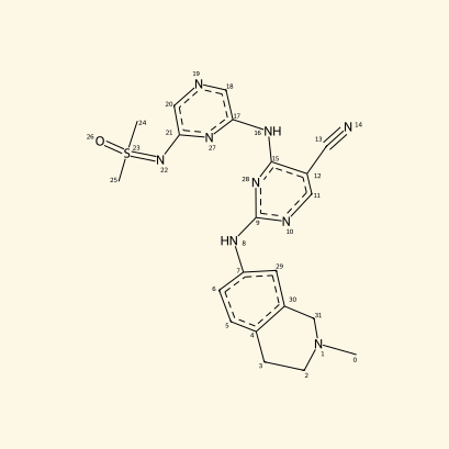 CN1CCc2ccc(Nc3ncc(C#N)c(Nc4cncc(N=S(C)(C)=O)n4)n3)cc2C1